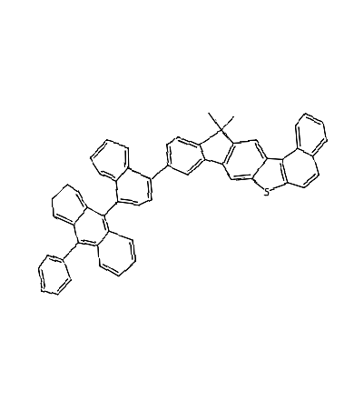 CC1(C)c2ccc(-c3ccc(-c4c5c(c(-c6ccccc6)c6ccccc46)=CCCC=5)c4ccccc34)cc2-c2cc3sc4ccc5ccccc5c4c3cc21